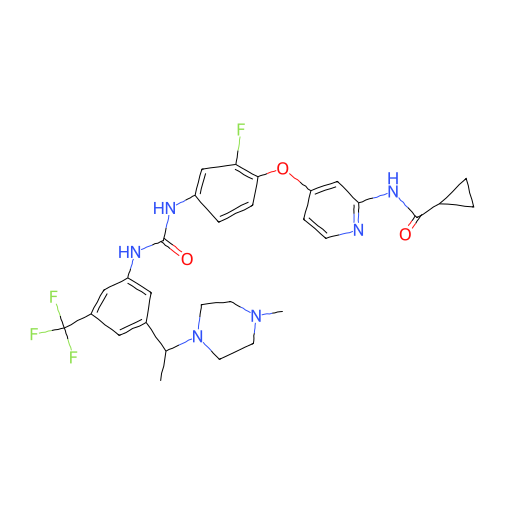 CC(c1cc(NC(=O)Nc2ccc(Oc3ccnc(NC(=O)C4CC4)c3)c(F)c2)cc(C(F)(F)F)c1)N1CCN(C)CC1